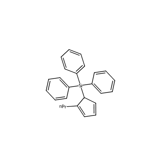 CCCC1=CC=C[C]1[Si](c1ccccc1)(c1ccccc1)c1ccccc1